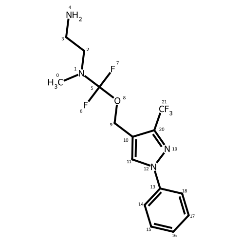 CN(CCN)C(F)(F)OCc1cn(-c2ccccc2)nc1C(F)(F)F